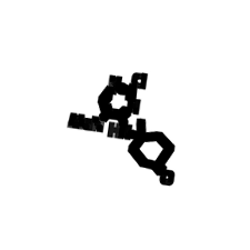 CNc1cnc(Cl)nc1NC1(C)CCC(=O)CC1